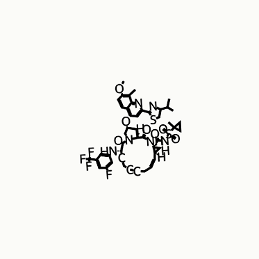 COc1ccc2c(O[C@@H]3C[C@H]4C(=O)N[C@]5(C(=O)NS(=O)(=O)C6(C)CC6)C[C@H]5/C=C\CCCCC[C@H](Nc5cc(F)cc(C(F)(F)F)c5)C(=O)N4C3)cc(C3=NC(C(C)C)CS3)nc2c1C